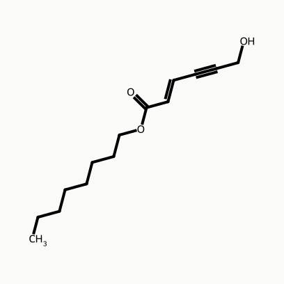 CCCCCCCCOC(=O)C=CC#CCO